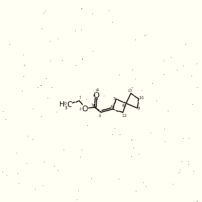 CCOC(=O)C=C1CC2(CCC2)C1